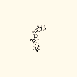 Cn1ncc2ccc(-c3n[nH]c4c3Cc3sc(-c5csc(C(=O)N6CCOCC6)c5)cc3-4)cc21